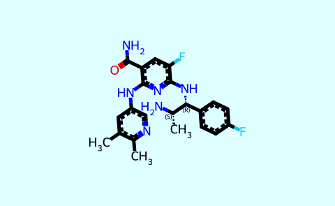 Cc1cc(Nc2nc(N[C@H](c3ccc(F)cc3)[C@H](C)N)c(F)cc2C(N)=O)cnc1C